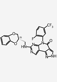 O=c1c2c[nH]nc2c2cnc(NC[C@H]3COc4ccccc4O3)nc2n1-c1cc(C(F)(F)F)ccc1F